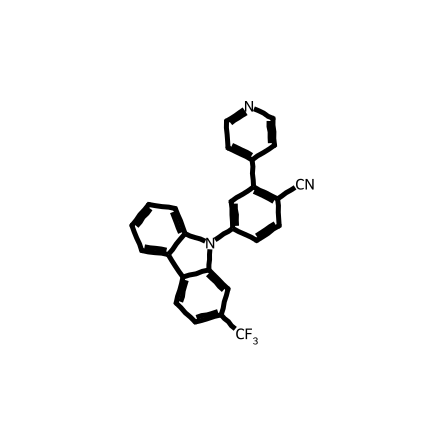 N#Cc1ccc(-n2c3ccccc3c3ccc(C(F)(F)F)cc32)cc1-c1ccncc1